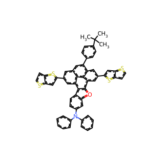 CC(C)(C)c1ccc(-c2cc3cc(-c4cc5sccc5s4)cc4c5c6ccc(N(c7ccccc7)c7ccccc7)cc6oc5c5cc(-c6cc7sccc7s6)cc2c5c34)cc1